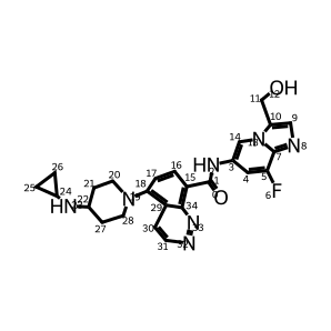 O=C(Nc1cc(F)c2ncc(CO)n2c1)c1ccc(N2CCC(NC3CC3)CC2)c2ccnnc12